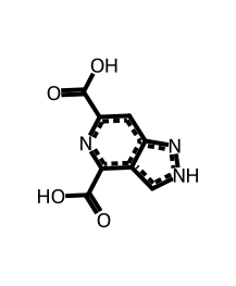 O=C(O)c1cc2n[nH]cc2c(C(=O)O)n1